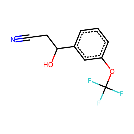 N#CCC(O)c1cccc(OC(F)(F)F)c1